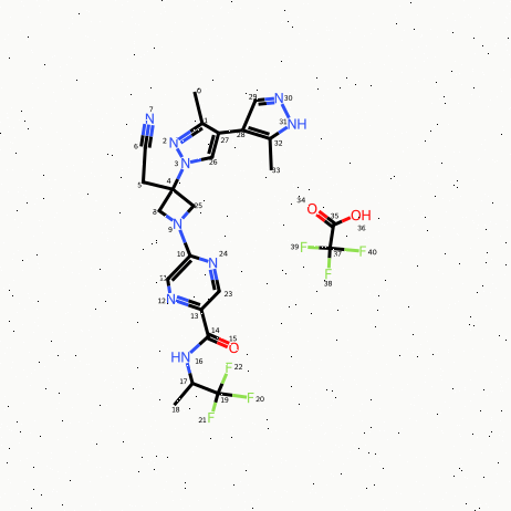 Cc1nn(C2(CC#N)CN(c3cnc(C(=O)NC(C)C(F)(F)F)cn3)C2)cc1-c1cn[nH]c1C.O=C(O)C(F)(F)F